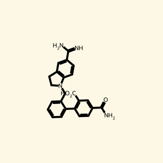 N=C(N)c1ccc2c(c1)CCN2Cc1ccccc1-c1ccc(C(N)=O)cc1C(=O)O